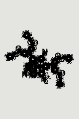 [C-]#[N+]c1cccc(-c2cc(-n3c4ccc(C(=O)OCc5ccccc5)cc4c4cc(C(=O)OCc5ccccc5)ccc43)ccc2-c2nc(-c3ccc(-n4c5ccc(C(=O)OCc6ccccc6)cc5c5cc(C(=O)OCc6ccccc6)ccc54)cc3-c3cccc(C#N)c3)nc(-c3ccccc3-c3ccccc3C#N)n2)c1